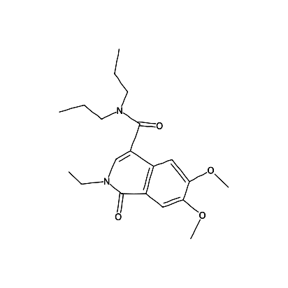 CCCN(CCC)C(=O)c1cn(CC)c(=O)c2cc(OC)c(OC)cc12